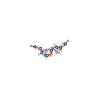 COCCn1c(Cc2cc(C)c(-c3cccc(OCc4ccc(C#N)cc4F)n3)cc2Cl)nc2c(F)cc(C(=O)OC(=O)c3cc(F)c4nc(Cc5cc(C)c(-c6cccc(OCc7ccc(C#N)cc7F)n6)cc5Cl)n(CCOC)c4c3)cc21